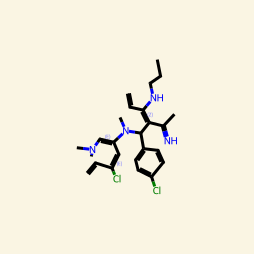 C=C/C(NCCC)=C(/C(C)=N)C(c1ccc(Cl)cc1)N(C)C(/C=C(/Cl)C=C)=C/N(C)C